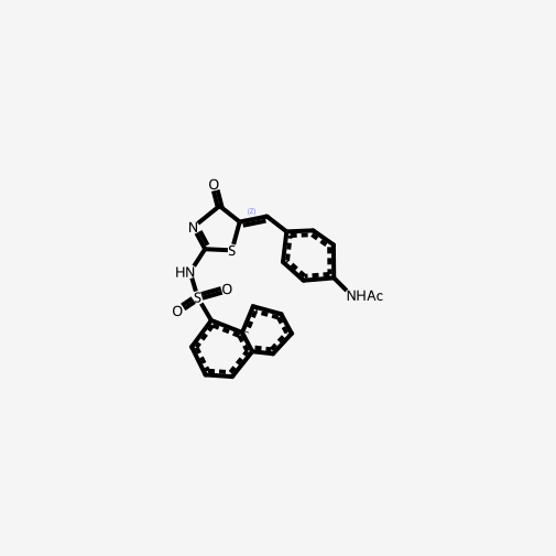 CC(=O)Nc1ccc(/C=C2\SC(NS(=O)(=O)c3cccc4ccccc34)=NC2=O)cc1